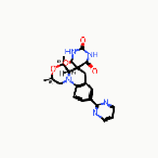 C[C@@H]1CN2c3ccc(-c4ncccn4)cc3CC3(C(=O)NC(=O)NC3=O)[C@H]2[C@H](C)O1